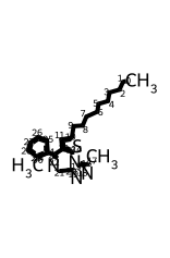 CCCCCCCCCCc1cc2c(s1)-n1c(C)nnc1CN=C2c1ccccc1C